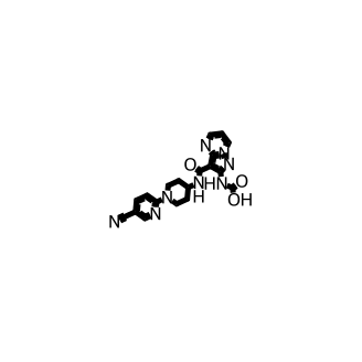 N#Cc1ccc(N2CCC(NC(=O)c3c(NC(=O)O)nn4cccnc34)CC2)nc1